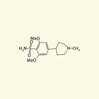 COc1cc(C2CCN(C)CC2)cc(OC)c1S(N)(=O)=O